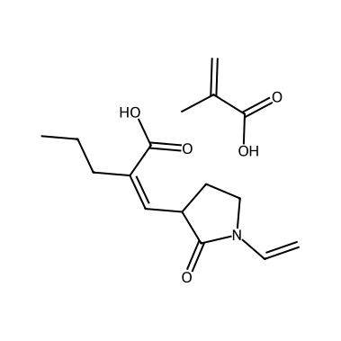 C=C(C)C(=O)O.C=CN1CCC(C=C(CCC)C(=O)O)C1=O